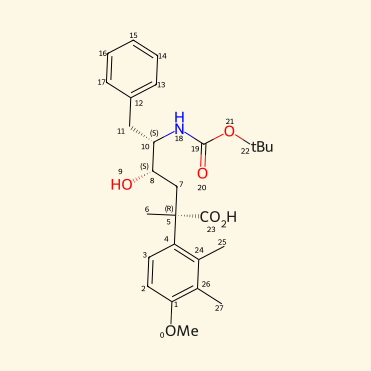 COc1ccc([C@@](C)(C[C@H](O)[C@H](Cc2ccccc2)NC(=O)OC(C)(C)C)C(=O)O)c(C)c1C